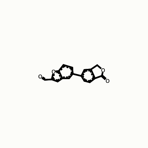 O=Cc1cc2cc(-c3ccc4c(c3)COC4=O)ccc2o1